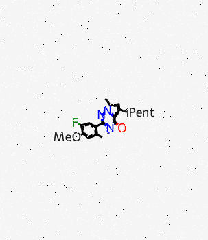 CCCC(C)c1cc(C)n2nc(-c3cc(F)c(OC)cc3C)n(C)c(=O)c12